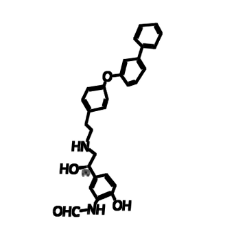 O=CNc1cc([C@@H](O)CNCCc2ccc(Oc3cccc(-c4ccccc4)c3)cc2)ccc1O